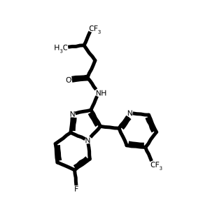 CC(CC(=O)Nc1nc2ccc(F)cn2c1-c1cc(C(F)(F)F)ccn1)C(F)(F)F